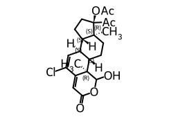 CC(=O)O[C@]1(C(C)=O)CC[C@H]2[C@@H]3C=C(Cl)C4=CC(=O)OC(O)[C@]4(C)[C@H]3CC[C@@]21C